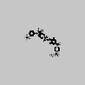 Cc1cc(C(=O)N2CCN(C(N)=O)CC2)cc(C)c1/C=C/S(=O)(=O)N1CCC2(CC1)N=C(c1cccc(OC(F)(F)F)c1)NC2=O